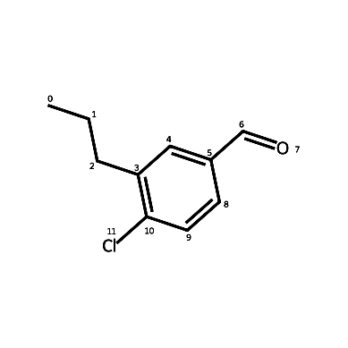 CCCc1cc(C=O)ccc1Cl